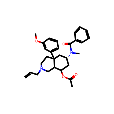 C=CCN1CCC2(c3cccc(OC)c3)C[C@H](N(C)C(=O)c3ccccc3)CC(OC(C)=O)C2C1